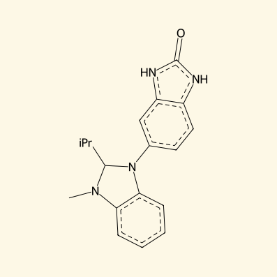 CC(C)C1N(C)c2ccccc2N1c1ccc2[nH]c(=O)[nH]c2c1